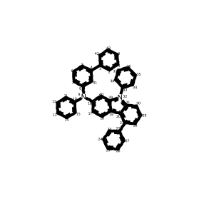 c1ccc(-c2cccc(N(c3ccccc3)c3ccc4c5c(-c6ccccc6)cccc5n(-c5ccccc5)c4c3)c2)cc1